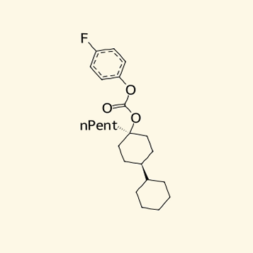 CCCCC[C@]1(OC(=O)Oc2ccc(F)cc2)CC[C@@H](C2CCCCC2)CC1